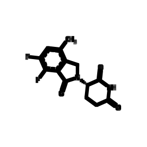 Cc1cc(F)c(F)c2c1CN([C@H]1CCC(=O)NC1=O)C2=O